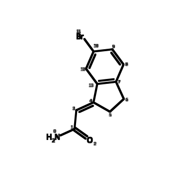 NC(=O)C=C1CCc2ccc(Br)cc21